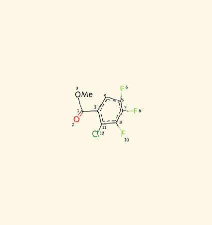 COC(=O)c1cc(F)c(F)c(F)c1Cl